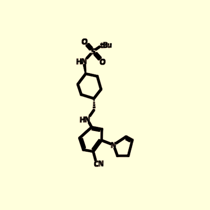 CC(C)(C)S(=O)(=O)N[C@H]1CC[C@H](CNc2ccc(C#N)c(N3C=CCC3)c2)CC1